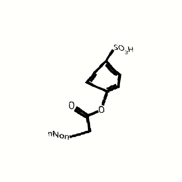 CCCCCCCCCCC(=O)Oc1ccc(S(=O)(=O)O)cc1